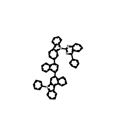 c1ccc(-c2nc(-n3c4ccccc4c4ccc(-c5ccc(-c6cc7c(c8ccccc68)c6ccccc6n7-c6ccccc6)c6ccccc56)cc43)nc3ccccc23)cc1